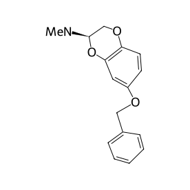 CN[C@H]1COc2ccc(OCc3ccccc3)cc2O1